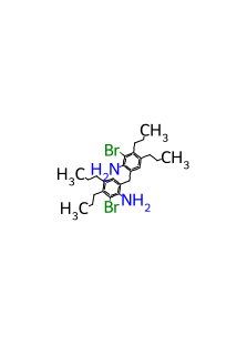 CCCc1cc(Cc2cc(CCC)c(CCC)c(Br)c2N)c(N)c(Br)c1CCC